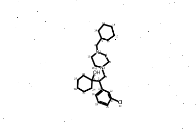 OC1(C(CN2CCN(CC3CCCCC3)CC2)c2cccc(Cl)c2)CCCCC1